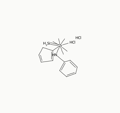 Cl.Cl.[CH3][Zr]([CH3])([CH3])([CH3])([CH3])([CH3])(=[SiH2])([NH]c1ccccc1)[C]1=CC=CC1